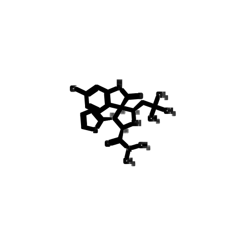 CN(C)C(=O)[C@@H]1N[C@H](CC(C)(C)C)[C@]2(C(=O)Nc3cc(Cl)ccc32)[C@H]1c1cccs1